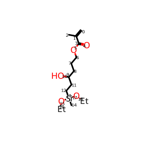 C=C(C)C(=O)OCCCC(O)CC[Si](C)(OCC)OCC